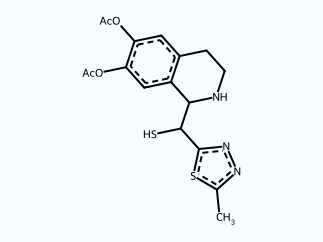 CC(=O)Oc1cc2c(cc1OC(C)=O)C(C(S)c1nnc(C)s1)NCC2